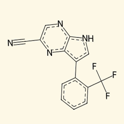 N#Cc1cnc2[nH]cc(-c3ccccc3C(F)(F)F)c2n1